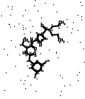 CCCN(CCC)C(=O)c1cc(NC(=O)C(CC)NC(=O)Cc2cc(F)cc(F)c2)[nH]n1